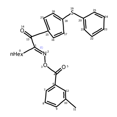 CCCCCC/C(=N\OC(=O)c1cccc(C)c1)C(=O)c1ccc(Sc2ccccc2)cc1